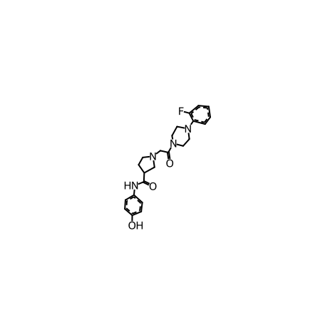 O=C(Nc1ccc(O)cc1)C1CCN(CC(=O)N2CCN(c3ccccc3F)CC2)C1